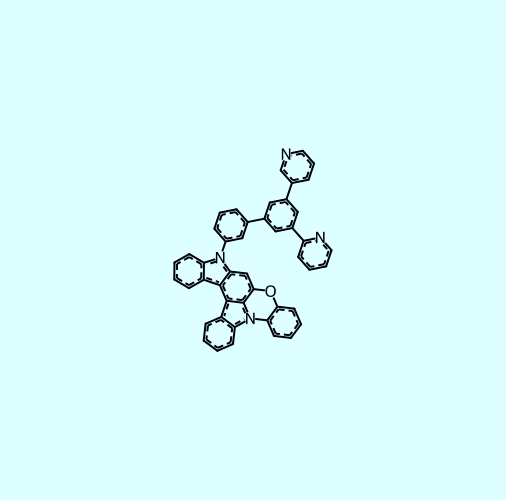 c1ccc(-c2cc(-c3cccnc3)cc(-c3cccc(-n4c5ccccc5c5c6c7ccccc7n7c6c(cc54)Oc4ccccc4-7)c3)c2)nc1